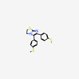 CSc1ccc(-c2nc3n(c2-c2ccc(SC)cc2)CCS3)cc1